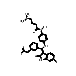 CN(C)CCCC(=O)N(C)c1ccc(NC(=C2C(=O)Nc3cc(Cl)ccc32)c2cccc(CC(=O)O)c2)cc1